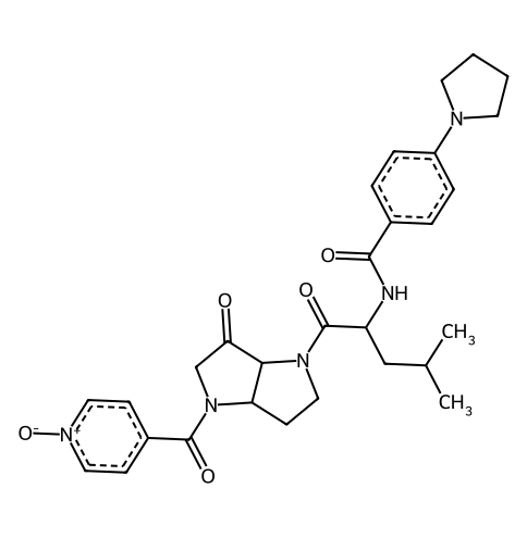 CC(C)CC(NC(=O)c1ccc(N2CCCC2)cc1)C(=O)N1CCC2C1C(=O)CN2C(=O)c1cc[n+]([O-])cc1